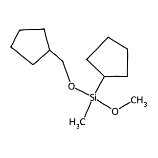 CO[Si](C)(OCC1CCCC1)C1CCCC1